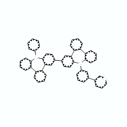 c1ccc(N2c3ccccc3-c3ccccc3-c3cc(-c4ccc5c(c4)-c4ccccc4-c4ccccc4N5c4cccc(-c5cccnc5)c4)ccc32)cc1